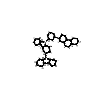 c1cc(-c2ccc3c(ccc4ccccc43)c2)cc(-n2c3ccccc3c3cc(-n4c5ccccc5c5ccccc54)ccc32)c1